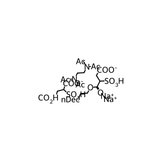 CC(=O)N(CCN(C(C)=O)C(C)=O)C(C)=O.CCCCCCCCCCCCOC(=O)C(CC(=O)[O-])S(=O)(=O)O.O=C(O)CC(C(=O)[O-])S(=O)(=O)O.[Na+].[Na+]